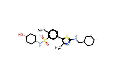 COc1ccc(-c2sc(NCC3CCCCC3)nc2C)cc1S(=O)(=O)N[C@H]1CC[C@@H](O)CC1